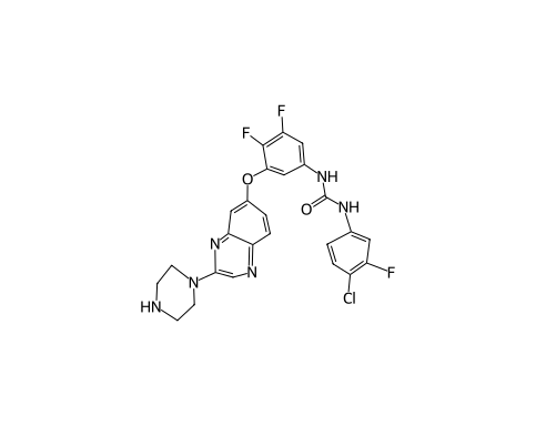 O=C(Nc1ccc(Cl)c(F)c1)Nc1cc(F)c(F)c(Oc2ccc3ncc(N4CCNCC4)nc3c2)c1